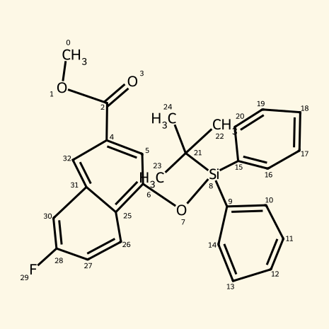 COC(=O)c1cc(O[Si](c2ccccc2)(c2ccccc2)C(C)(C)C)c2ccc(F)cc2c1